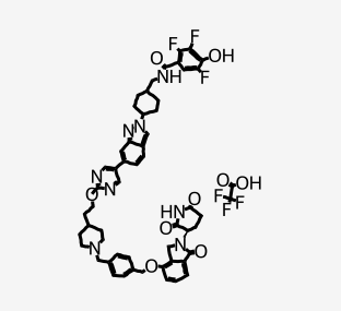 O=C(O)C(F)(F)F.O=C1CC[C@@H](N2Cc3c(OCc4ccc(CN5CCC(CCOc6ncc(-c7ccc8cn(C9CCC(CNC(=O)c%10cc(F)c(O)c(F)c%10F)CC9)nc8c7)cn6)CC5)cc4)cccc3C2=O)C(=O)N1